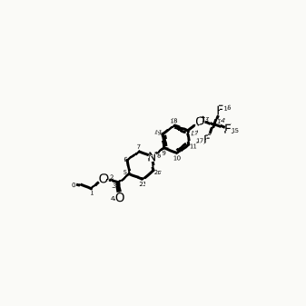 CCOC(=O)C1CCN(c2ccc(OC(F)(F)F)cc2)CC1